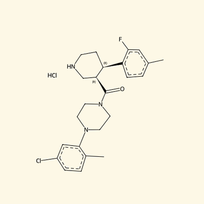 Cc1ccc([C@@H]2CCNC[C@@H]2C(=O)N2CCN(c3cc(Cl)ccc3C)CC2)c(F)c1.Cl